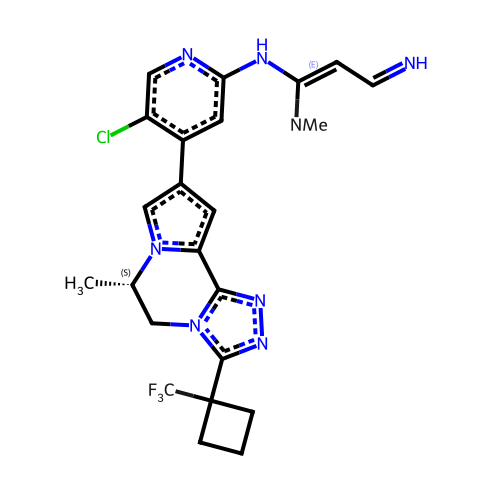 CN/C(=C\C=N)Nc1cc(-c2cc3n(c2)[C@@H](C)Cn2c-3nnc2C2(C(F)(F)F)CCC2)c(Cl)cn1